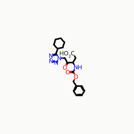 O=C(O)CC(NC(=O)OCc1ccccc1)C(=O)Cn1nnnc1C1CCCCC1